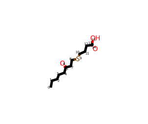 CCCCCC(=O)CCSCCCC(=O)O